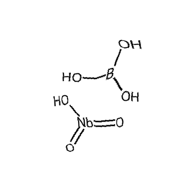 OB(O)O.[O]=[Nb](=[O])[OH]